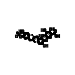 C[C@H](Cc1ccc(O)c(O[C@@H]2O[C@H](C(=O)O)[C@@H](O)[C@H](O)[C@H]2O)c1)[C@@H](C)Cc1ccc(O)c(OS(C)(=O)=O)c1